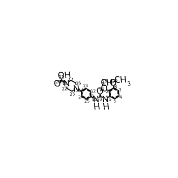 COc1cccc(NC(=O)Nc2ccc(N3CCN(C(=O)O)CC3)cc2)c1OC